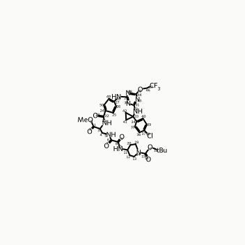 COC(=O)C(CNC(=O)C(=O)NC1CCN(C(=O)OC(C)(C)C)CC1)NC(=O)c1ccc(Nc2nc(NC3(c4ccc(Cl)cc4)CC3)nc(OCC(F)(F)F)n2)cc1